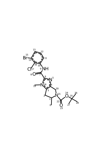 CC1Cc2c(nc(C(=O)Nc3cccc(Br)c3Cl)n2C)CN1C(=O)OC(C)(C)C